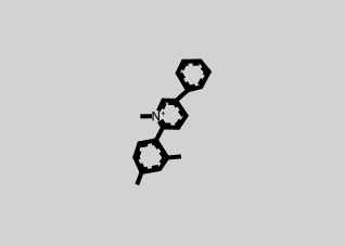 Cc1ccc(-c2ccc(-c3ccccc3)c[n+]2C)c(C)c1